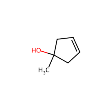 CC1(O)CC=CC1